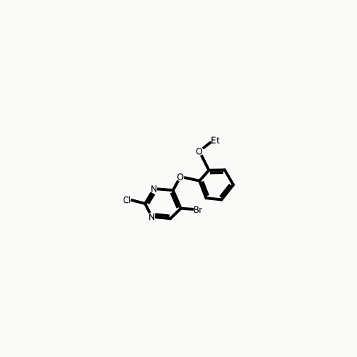 CCOc1ccccc1Oc1nc(Cl)ncc1Br